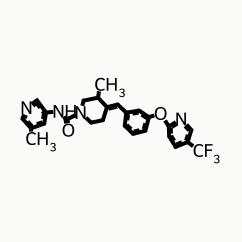 Cc1cncc(NC(=O)N2CC/C(=C\c3cccc(Oc4ccc(C(F)(F)F)cn4)c3)C(C)C2)c1